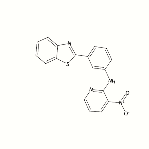 O=[N+]([O-])c1cccnc1Nc1cccc(-c2nc3ccccc3s2)c1